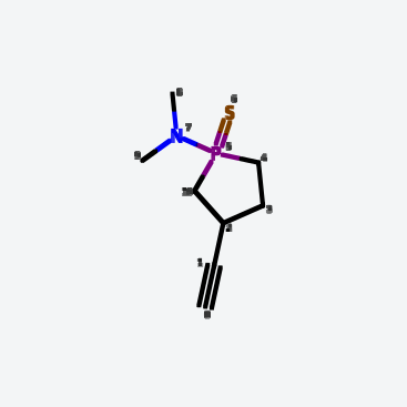 C#CC1CCP(=S)(N(C)C)C1